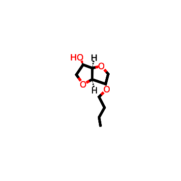 CCCCO[C@H]1CO[C@H]2[C@@H]1OC[C@H]2O